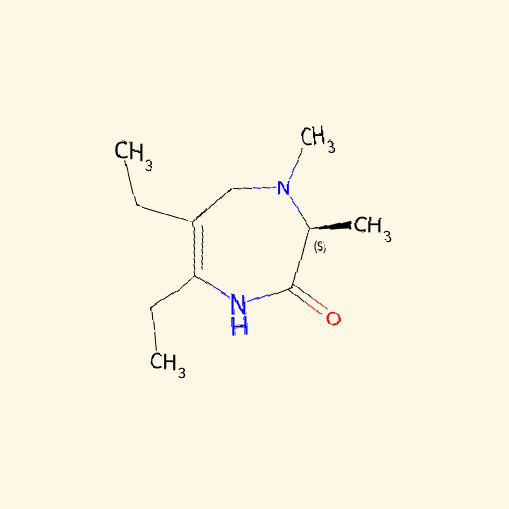 CCC1=C(CC)NC(=O)[C@H](C)N(C)C1